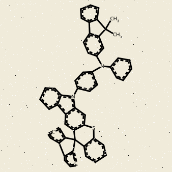 CC1(C)c2ccccc2-c2ccc(N(c3ccccc3)c3ccc(-n4c5ccccc5c5cc6c(cc54)Sc4ccccc4C64c5ccccc5-c5ccccc54)cc3)cc21